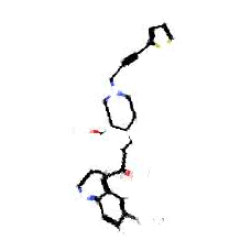 COc1ccc2nccc(C(O)CC[C@@H]3CCN(CC#Cc4cccs4)C[C@@H]3CO)c2c1